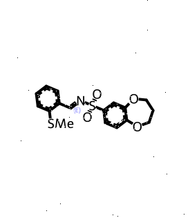 CSc1ccccc1/C=N/S(=O)(=O)c1ccc2c(c1)OCCCO2